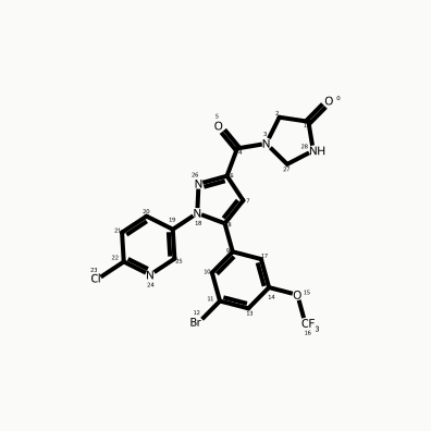 O=C1CN(C(=O)c2cc(-c3cc(Br)cc(OC(F)(F)F)c3)n(-c3ccc(Cl)nc3)n2)CN1